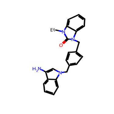 CCn1c(=O)n(Cc2ccc(Cn3cc(N)c4ccccc43)cc2)c2ccccc21